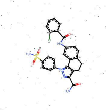 NC(=O)c1nn(-c2ccc(S(N)(=O)=O)cc2)c2c1CCc1ccc(NC(=O)c3ccccc3Cl)cc1-2